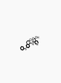 CN1CCc2cc(Sc3ccccc3)ccc2[C@@H]1CNc1cnccc1C(=O)O